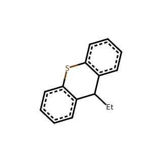 CCC1c2ccccc2Sc2ccccc21